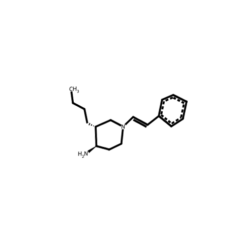 CCCC[C@@H]1CN(C=Cc2ccccc2)CC[C@H]1N